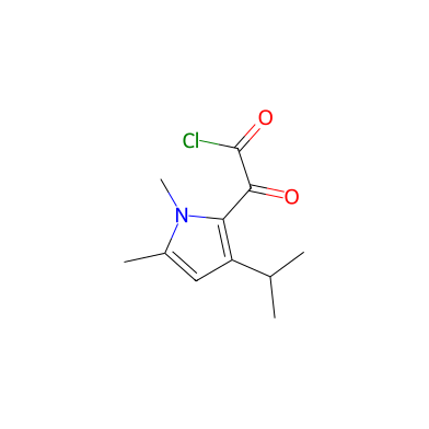 Cc1cc(C(C)C)c(C(=O)C(=O)Cl)n1C